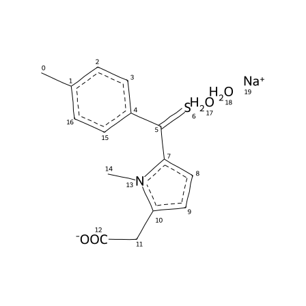 Cc1ccc(C(=S)c2ccc(CC(=O)[O-])n2C)cc1.O.O.[Na+]